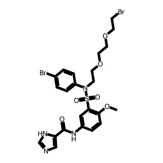 COc1ccc(NC(=O)c2cnc[nH]2)cc1S(=O)(=O)N(CCOCCOCCBr)c1ccc(Br)cc1